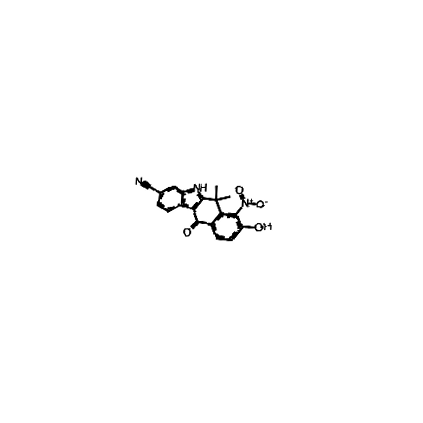 CC1(C)c2[nH]c3cc(C#N)ccc3c2C(=O)c2ccc(O)c([N+](=O)[O-])c21